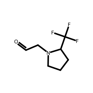 O=CCN1CCCC1C(F)(F)F